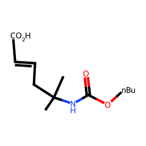 CCCCOC(=O)NC(C)(C)CC=CC(=O)O